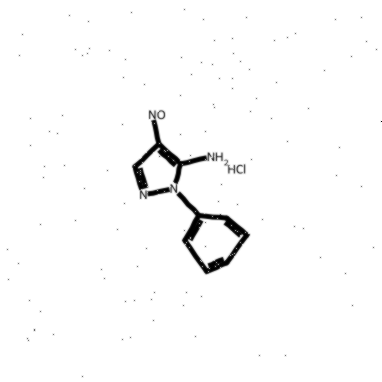 Cl.Nc1c(N=O)cnn1-c1ccccc1